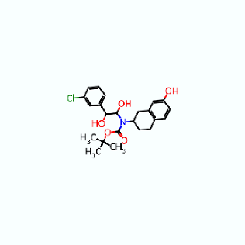 CC(C)(C)OC(=O)N(C1CCc2ccc(O)cc2C1)C(O)C(O)c1cccc(Cl)c1